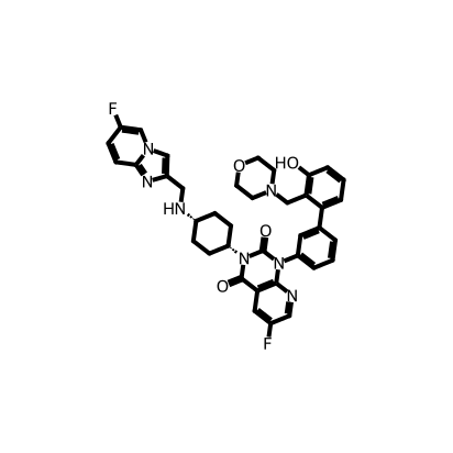 O=c1c2cc(F)cnc2n(-c2cccc(-c3cccc(O)c3CN3CCOCC3)c2)c(=O)n1[C@H]1CC[C@@H](NCc2cn3cc(F)ccc3n2)CC1